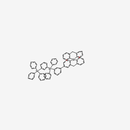 c1ccc([Si](c2ccccc2)(c2ccccc2)c2cccc([Si](c3ccccc3)(c3ccccc3)c3cccc(-c4ccc5c(c4)Cc4ccccc4[Si]54c5ccccc5Cc5ccccc54)c3)c2)cc1